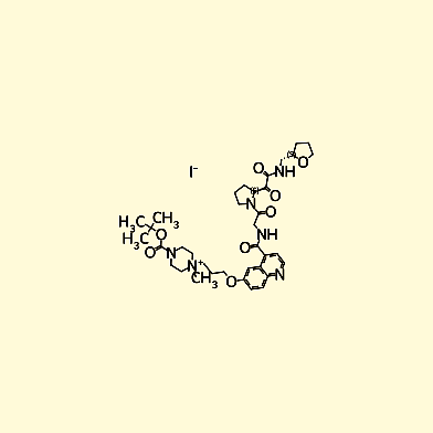 CC(C)(C)OC(=O)N1CC[N+](C)(CCCOc2ccc3nccc(C(=O)NCC(=O)N4CCC[C@H]4C(=O)C(=O)NC[C@@H]4CCCO4)c3c2)CC1.[I-]